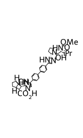 COC(=O)N[C@@H](C(C)C)C(O)N1CCC[C@H]1c1ncc(-c2ccc(-c3ccc(-c4cnc([C@]56[C@H](C(=O)O)[C@@H]7CC[C@H]5[C@@]76C)[nH]4)cc3)cc2)[nH]1